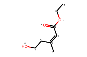 CCOC(=O)/C=C(/C)CCO